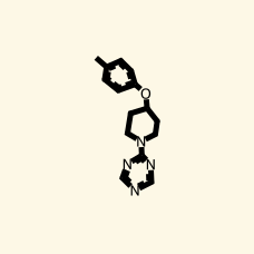 Cc1ccc(OC2CCN(c3ncncn3)CC2)cc1